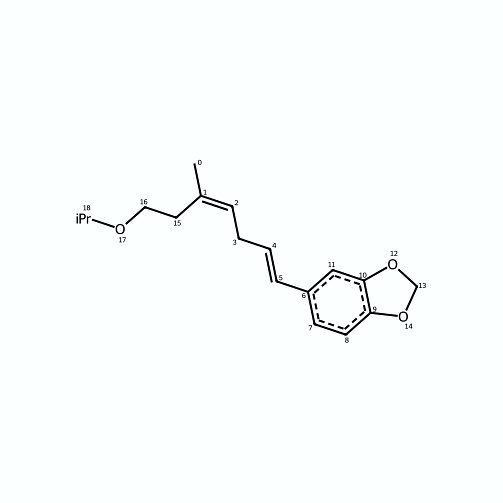 CC(=CCC=Cc1ccc2c(c1)OCO2)CCOC(C)C